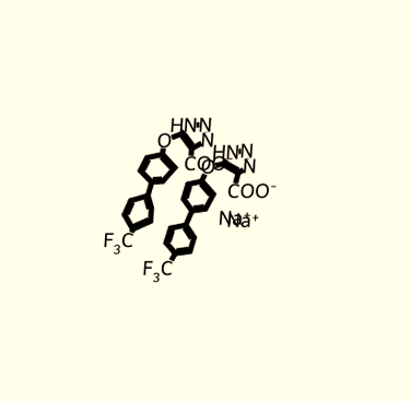 O=C([O-])c1nn[nH]c1Oc1ccc(-c2ccc(C(F)(F)F)cc2)cc1.O=C([O-])c1nn[nH]c1Oc1ccc(-c2ccc(C(F)(F)F)cc2)cc1.[Na+].[Na+]